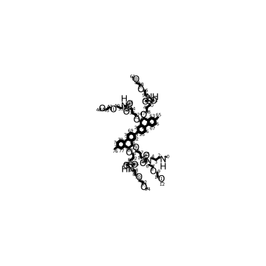 CNCCCN(CCOCCOC)S(=O)(=O)CCCOC1c2cc(-c3ccc4c(c3)C(OCCCS(=O)(=O)NCCOCCOC)C(OCCCS(=O)(=O)NCCOCCOC)c3cc(C)ccc3-4)ccc2-c2ccc(C)cc2C1OCCCS(=O)(=O)NCCOCCOC